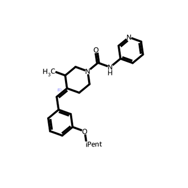 CCCC(C)Oc1cccc(/C=C2\CCN(C(=O)Nc3cccnc3)CC2C)c1